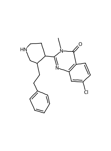 Cn1c(C2CCNCC2CCc2ccccc2)nc2cc(Cl)ccc2c1=O